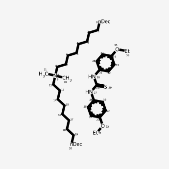 CCCCCCCCCCCCCCCCCC[N+](C)(C)CCCCCCCCCCCCCCCCCC.CCOc1ccc(NC(=S)Nc2ccc(OCC)cc2)cc1